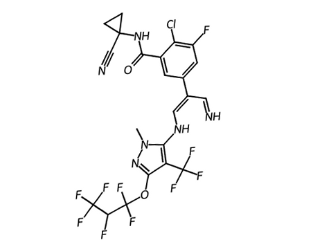 Cn1nc(OC(F)(F)C(F)C(F)(F)F)c(C(F)(F)F)c1N/C=C(\C=N)c1cc(F)c(Cl)c(C(=O)NC2(C#N)CC2)c1